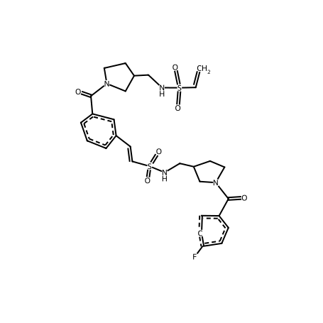 C=CS(=O)(=O)NCC1CCN(C(=O)c2cccc(/C=C/S(=O)(=O)NCC3CCN(C(=O)c4ccc(F)cc4)C3)c2)C1